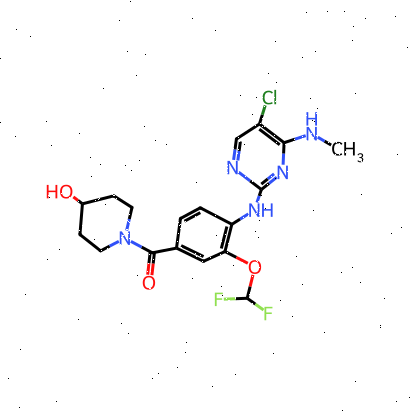 CNc1nc(Nc2ccc(C(=O)N3CCC(O)CC3)cc2OC(F)F)ncc1Cl